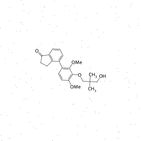 COc1ccc(-c2cccc3c2CCC3=O)c(OC)c1OCC(C)(C)CO